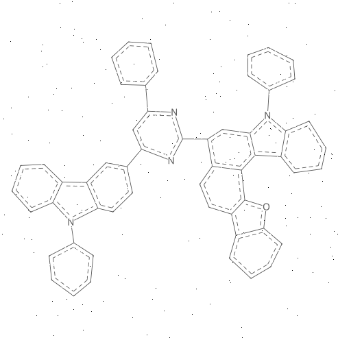 c1ccc(-c2cc(-c3ccc4c(c3)c3ccccc3n4-c3ccccc3)nc(-c3cc4c(c5ccccc5n4-c4ccccc4)c4c3ccc3c5ccccc5oc34)n2)cc1